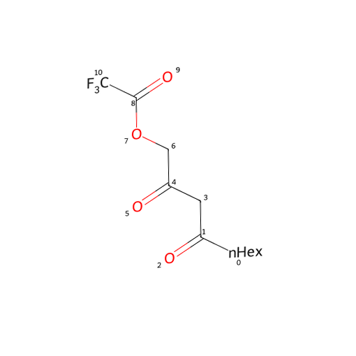 CCCCCCC(=O)CC(=O)COC(=O)C(F)(F)F